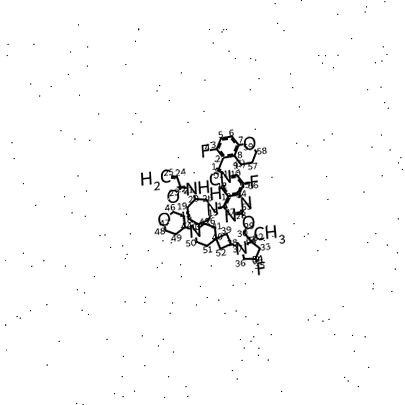 C#Cc1c(F)ccc2c1[C@@H](c1ncc3c(N4CCCCC(NC(=O)C=C)C4)nc(OC[C@]4(C)C[C@@H](F)CN4C4CC5(CCN(C6CCOCC6)CC5)C4)nc3c1F)CCO2